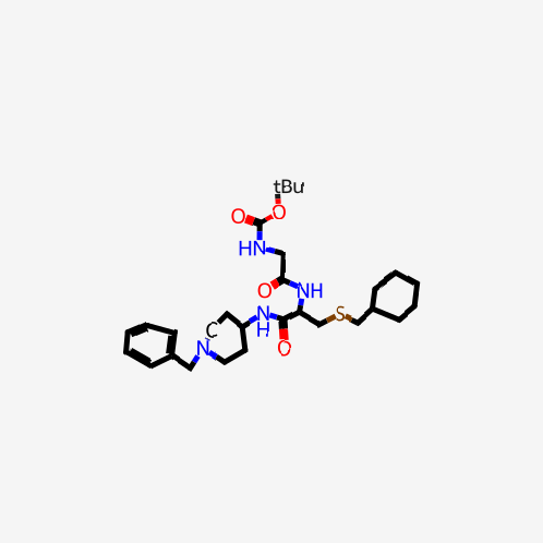 CC(C)(C)OC(=O)NCC(=O)NC(CSCC1CCCCC1)C(=O)NC1CCN(Cc2ccccc2)CC1